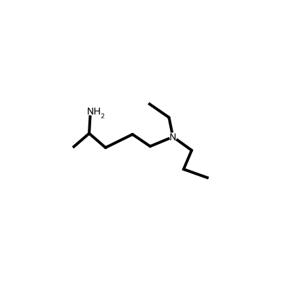 CCCN(CC)CCCC(C)N